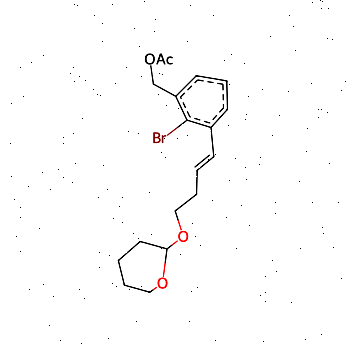 CC(=O)OCc1cccc(C=CCCOC2CCCCO2)c1Br